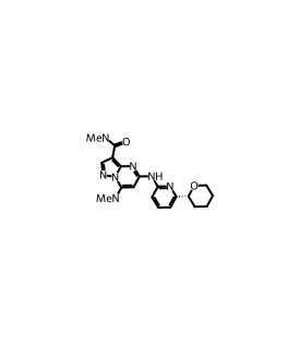 CNC(=O)c1cnn2c(NC)cc(Nc3cccc([C@H]4CCCCO4)n3)nc12